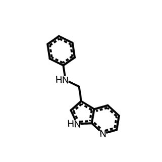 c1ccc(NCc2c[nH]c3ncccc23)cc1